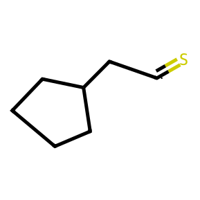 S=[C]CC1CCCC1